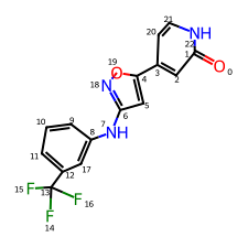 O=c1cc(-c2cc(Nc3cccc(C(F)(F)F)c3)no2)cc[nH]1